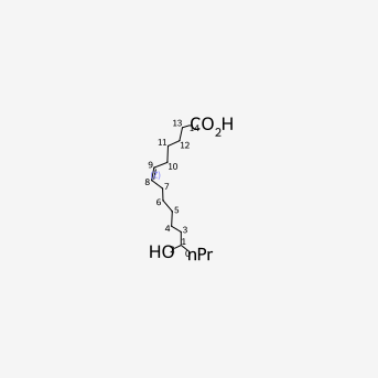 CCCC(O)CCCCC/C=C\CCCCC(=O)O